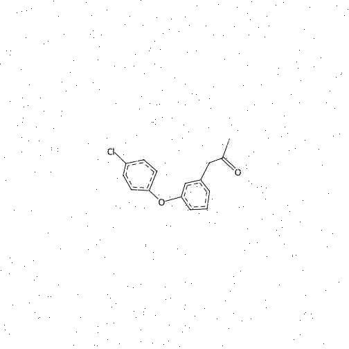 CC(=O)Cc1cccc(Oc2ccc(Cl)cc2)c1